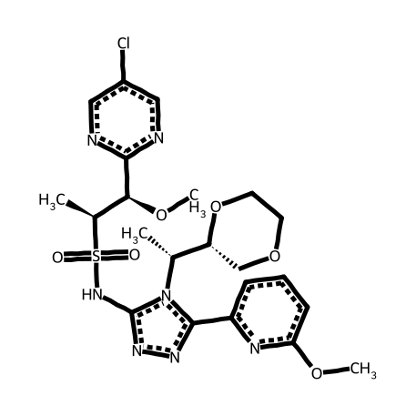 COc1cccc(-c2nnc(NS(=O)(=O)[C@@H](C)[C@H](OC)c3ncc(Cl)cn3)n2[C@H](C)[C@H]2COCCO2)n1